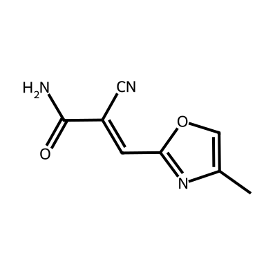 Cc1coc(/C=C(\C#N)C(N)=O)n1